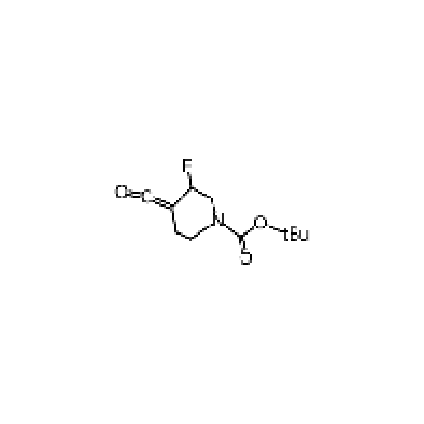 CC(C)(C)OC(=O)N1CCC(=C=O)C(F)C1